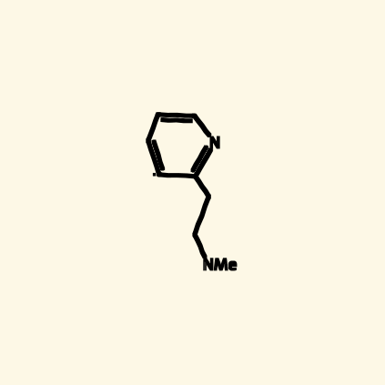 CNCCc1[c]cccn1